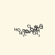 Cc1c(CN2CCN(C(=O)O)[C@@H](C)C2)cc(Cl)cc1Nc1nnc(C2CCCOC2)o1